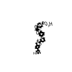 CN(Cc1ccc(-c2cn[nH]c2)cc1)C(=O)C1CCCN(c2cccc(OC(C)(C)C(=O)N3CCN(C(=O)O)CC3)c2)C1